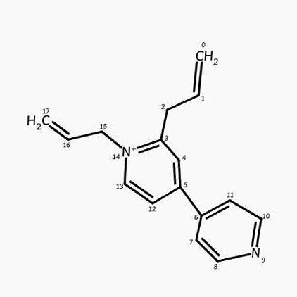 C=CCc1cc(-c2ccncc2)cc[n+]1CC=C